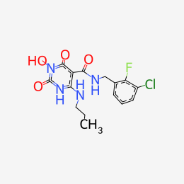 CCCNc1[nH]c(=O)n(O)c(=O)c1C(=O)NCc1cccc(Cl)c1F